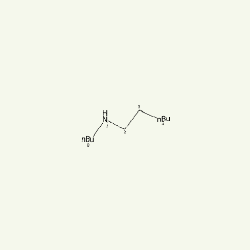 [CH2]CCCNCCCCCC